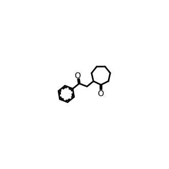 O=C(CC1CCCCCC1=O)c1ccccc1